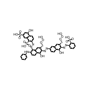 O=S(=O)(O)c1cc(O)c2ccc(N=Nc3c(Nc4ccccc4)ccc4c(O)c(N=Nc5ccc6c(O)c(N=Nc7ccccc7S(=O)(=O)O)c(SOOO)cc6c5)c(SOOO)cc34)c(S(=O)(=O)O)c2c1